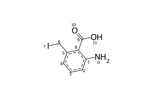 Nc1cccc(CI)c1C(=O)O